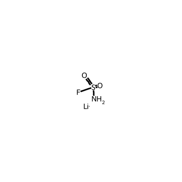 NS(=O)(=O)F.[Li]